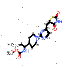 CC(C)(C)OC(=O)NC(CC(=O)O)C1CCN(c2nccc(C=C3SC(=O)NC3=O)n2)CC1